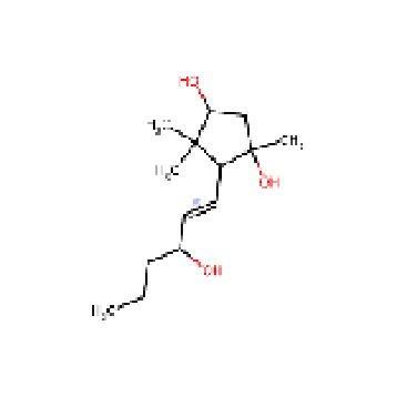 CCCC(O)/C=C/C1C(C)(O)CC(O)C1(C)C